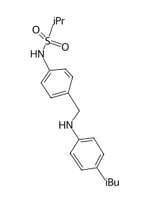 CCC(C)c1ccc(NCc2ccc(NS(=O)(=O)C(C)C)cc2)cc1